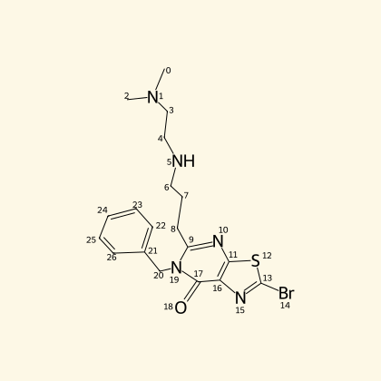 CN(C)CCNCCCc1nc2sc(Br)nc2c(=O)n1Cc1ccccc1